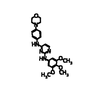 COc1cc(Nc2nccc(Nc3ccc(N4CCOCC4)cc3)n2)cc(OC)c1OC